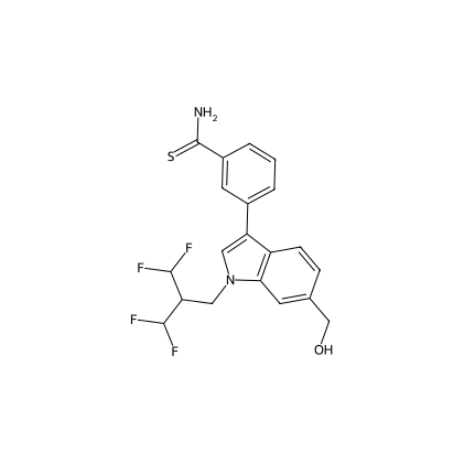 NC(=S)c1cccc(-c2cn(CC(C(F)F)C(F)F)c3cc(CO)ccc23)c1